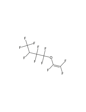 FC(F)=C(F)OC(F)(F)C(F)(F)C(F)C(F)(F)F